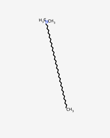 CCCCCCCCCCCCCCCCCCCCCCCCCCCCCCCCCCCCCCCCN(C)C